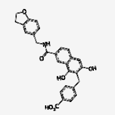 O=C(O)c1ccc(Cc2c(O)cc3ccc(C(=O)NCc4ccc5c(c4)CCO5)cc3c2O)cc1